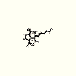 CCCCCCCC(CC)C1C(C(N)=O)CCN1C(C)=O